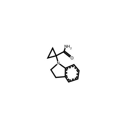 NC(=O)C1(N2CCc3ccccc32)CC1